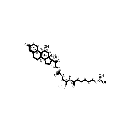 C[C@]12CCC(=O)C=C1CC[C@@H]1[C@@H]2[C@@H](O)C[C@@]2(C)[C@H]1CC[C@]2(O)C(=O)COC(=O)OCC(NC(=O)CCCCCON(O)O)C(=O)O